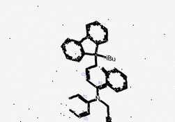 C#CCN(C(/C=C\C)=C/C)C(/C=C\CC1(C(C)CC)c2ccccc2-c2ccccc21)=c1\ccccc1=C